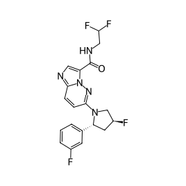 O=C(NCC(F)F)c1cnc2ccc(N3C[C@@H](F)C[C@@H]3c3cccc(F)c3)nn12